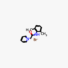 Cc1cccc(C)c1NC(=O)C[n+]1ccccc1.[Br-]